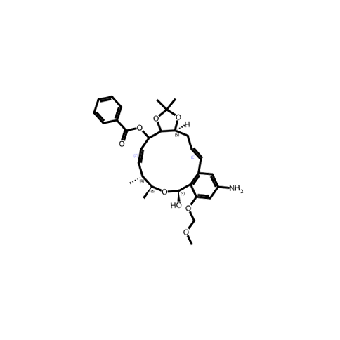 COCOc1cc(N)cc2c1[C@@H](O)O[C@@H](C)[C@H](C)/C=C\C(OC(=O)c1ccccc1)C1OC(C)(C)O[C@H]1C/C=C/2